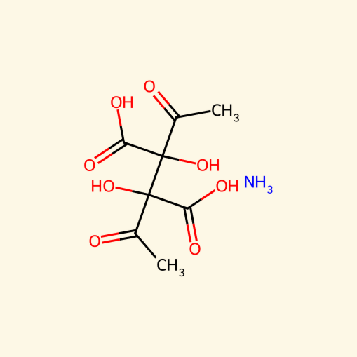 CC(=O)C(O)(C(=O)O)C(O)(C(C)=O)C(=O)O.N